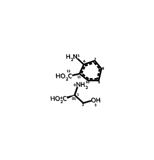 N[C@@H](CO)C(=O)O.Nc1ccccc1C(=O)O